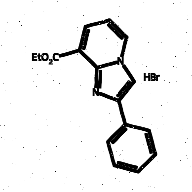 Br.CCOC(=O)c1cccn2cc(-c3ccccc3)nc12